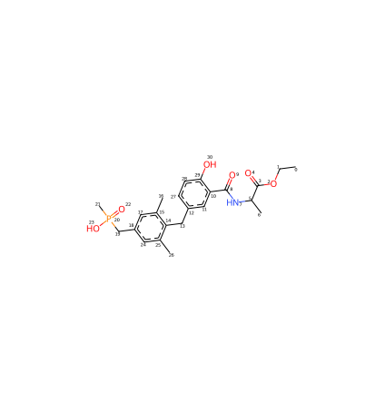 CCOC(=O)C(C)NC(=O)c1cc(Cc2c(C)cc(CP(C)(=O)O)cc2C)ccc1O